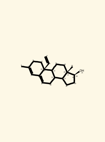 C=C[C@]12CCC(C)=CC1=CCC1C2CC[C@@]2(C)C1CC[C@@H]2O